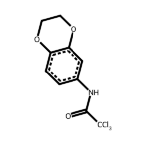 O=C(Nc1ccc2c(c1)OCCO2)C(Cl)(Cl)Cl